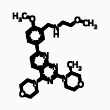 COCCNCc1cc(-c2ccc3c(N4CCOCC4)nc(N4CCOC[C@@H]4C)nc3n2)ccc1OC